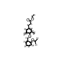 CCOC(=O)CCc1cc(F)c(OCc2ccccc2OC(C)C)c(F)c1